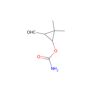 CC1(C)C(C=O)C1OC(N)=O